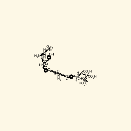 CCC(=O)NCCNC(=O)/N=C(/N)NCCC[C@@H](NC(=O)Cc1cccc(OCCCCNC(=O)[C@H](N)CCCCNC(=O)c2ccc(CNC(C=O)NCCN(CCN(CCNCC(=O)O)CC(=O)O)CC(=O)O)cc2)c1)C(=O)NCc1ccc(O)cc1